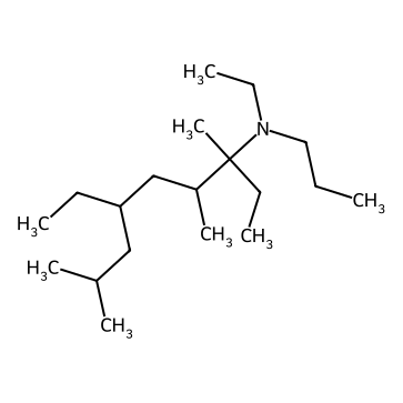 CCCN(CC)C(C)(CC)C(C)CC(CC)CC(C)C